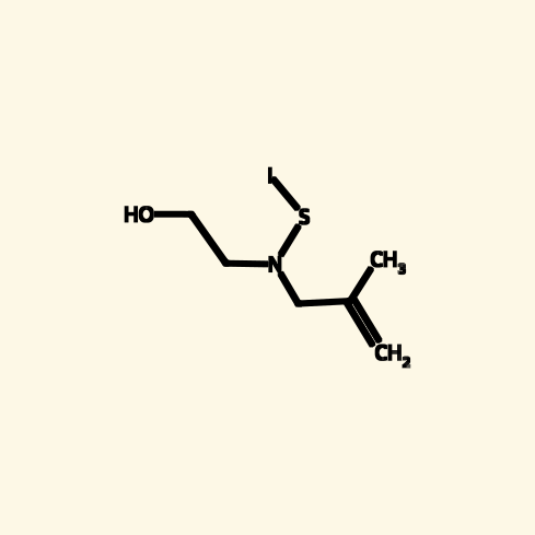 C=C(C)CN(CCO)SI